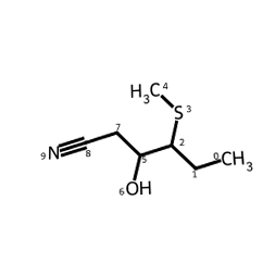 CCC(SC)C(O)CC#N